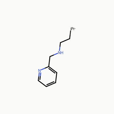 C[C](C)CCNCc1ccccn1